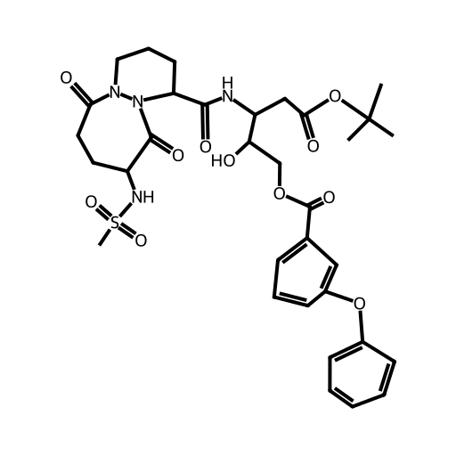 CC(C)(C)OC(=O)CC(NC(=O)C1CCCN2C(=O)CCC(NS(C)(=O)=O)C(=O)N12)C(O)COC(=O)c1cccc(Oc2ccccc2)c1